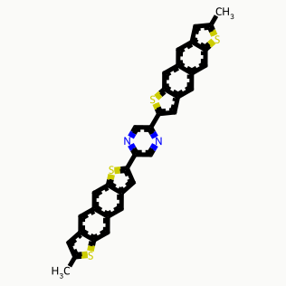 Cc1cc2cc3cc4sc(-c5cnc(-c6cc7cc8cc9sc(C)cc9cc8cc7s6)cn5)cc4cc3cc2s1